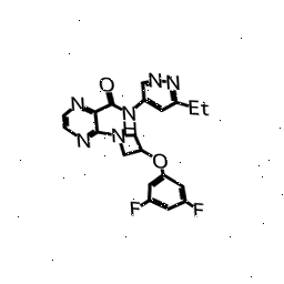 CCc1cc(NC(=O)c2nccnc2N2CC(Oc3cc(F)cc(F)c3)C2)cnn1